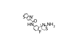 Cn1c(C(=O)Nc2ccc(F)c(C3(C)CCSC(N)=N3)c2)cc2sccc21